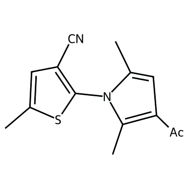 CC(=O)c1cc(C)n(-c2sc(C)cc2C#N)c1C